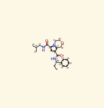 CC[C@@H](NC(=O)c1cc(C(=O)NCC(C)C)n2c1COCC2)c1ccccc1